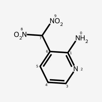 Nc1ncccc1C([N+](=O)[O-])[N+](=O)[O-]